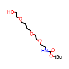 CC(C)(C)OC(=O)NCCOCCOCCCCOCCO